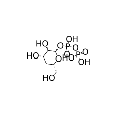 O=P(O)(O)OP(=O)(O)O[C@H]1O[C@H](CO)C[C@H](O)[C@H]1O